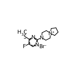 CSc1nc(N2CC[N+]3(CCCC3)CC2)ncc1F.[Br-]